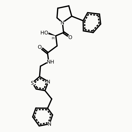 O=C(C[C@@H](O)C(=O)N1CCCC1c1ccccc1)NCc1nc(Cc2cccnc2)cs1